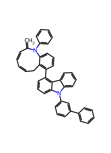 C=C1/C=C\C=C/Cc2c(-c3cccc4c3c3ccccc3n4-c3cccc(-c4ccccc4)c3)cccc2N1c1ccccc1